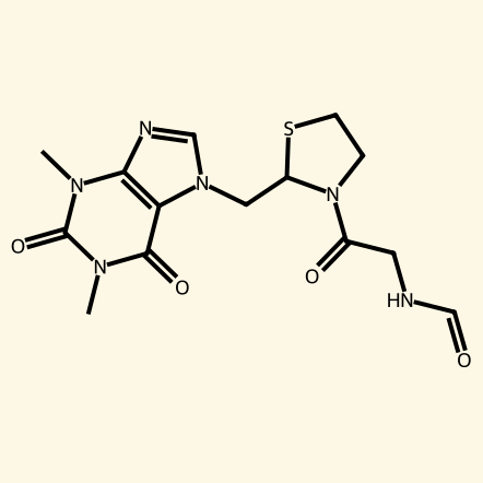 Cn1c(=O)c2c(ncn2CC2SCCN2C(=O)CNC=O)n(C)c1=O